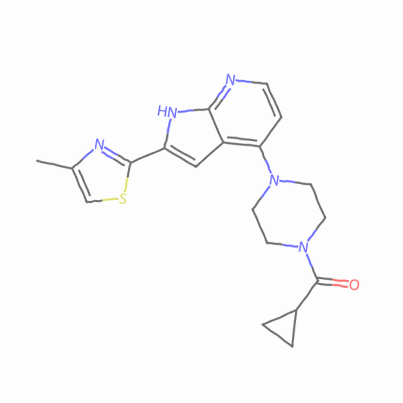 Cc1csc(-c2cc3c(N4CCN(C(=O)C5CC5)CC4)ccnc3[nH]2)n1